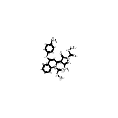 CC1=NN(C(=O)OC(C)(C)C)C(=O)C1=C1C=C(Sc2ccc(N)cc2)c2ccccc2N1C(=O)OC(C)(C)C